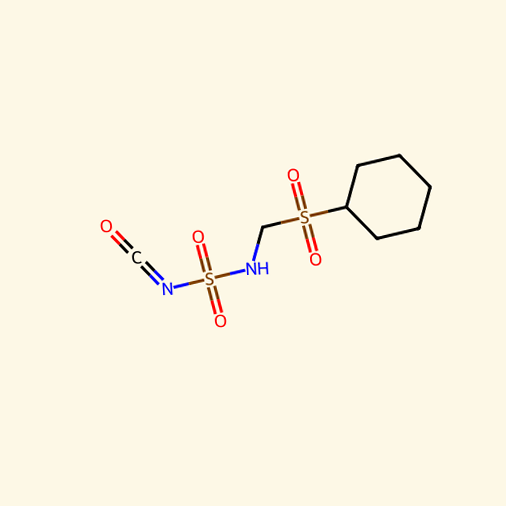 O=C=NS(=O)(=O)NCS(=O)(=O)C1CCCCC1